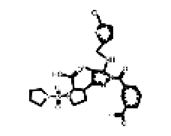 O=C(O)c1cccc(C(=O)n2nc(C3CCN(S(=O)(=O)N4CCCC4)C3C(=O)O)c(F)c2NCc2ccc(Cl)s2)c1